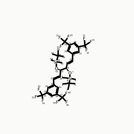 CC(C)(C)[Si](C)(C)O[C@H](/C=C/c1cc(C(F)(F)F)cc(C(F)(F)F)c1)[C@@H](/C=C/c1cc(C(F)(F)F)cc(C(F)(F)F)c1)O[Si](C)(C)C(C)(C)C